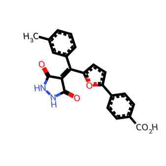 Cc1cccc(C(=C2C(=O)NNC2=O)c2ccc(-c3ccc(C(=O)O)cc3)o2)c1